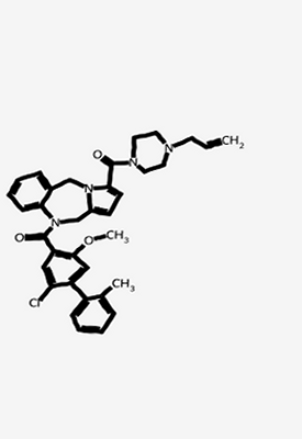 C=CCN1CCN(C(=O)c2ccc3n2Cc2ccccc2N(C(=O)c2cc(Cl)c(-c4ccccc4C)cc2OC)C3)CC1